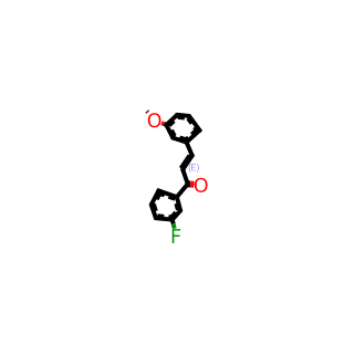 COc1cccc(/C=C/C(=O)c2cccc(F)c2)c1